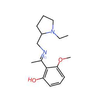 CCN1CCCC1C/N=C(\C)c1c(O)cccc1OC